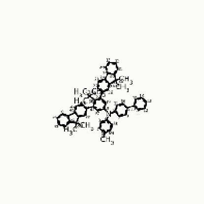 Cc1ccc(N(c2ccc(-c3ccccc3)cc2)c2cc(-c3ccc4c(c3)C(C)(C)c3ccccc3-4)c(C(C)(C)C)c(-c3ccc4c(c3)C(C)(C)c3ccccc3-4)c2)cc1